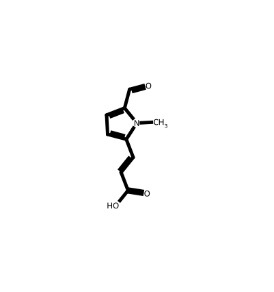 Cn1c(C=O)ccc1/C=C/C(=O)O